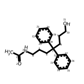 CC(=O)NCCCC(CCCO)(c1ccccc1)c1ccccc1